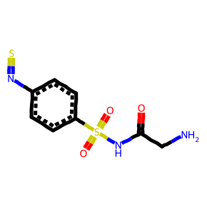 NCC(=O)NS(=O)(=O)c1ccc(N=S)cc1